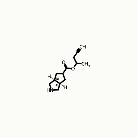 C#CCC(C)OC(=O)C1C[C@H]2CNC[C@H]2C1